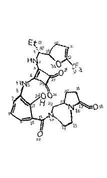 CC[C@@H](Nc1c(Nc2cccc(C(=O)N3CCN4C(=O)CCC4C3)c2O)c(=O)c1=O)C1CC=C(C(F)(F)F)O1